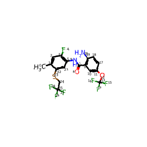 Cc1cc(F)c(NC(=O)c2cc(OC(F)(F)F)ccc2N)cc1SCC(F)(F)F